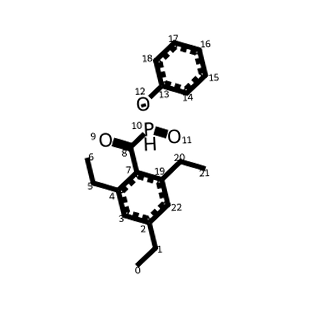 CCc1cc(CC)c(C(=O)[PH](=O)Oc2ccccc2)c(CC)c1